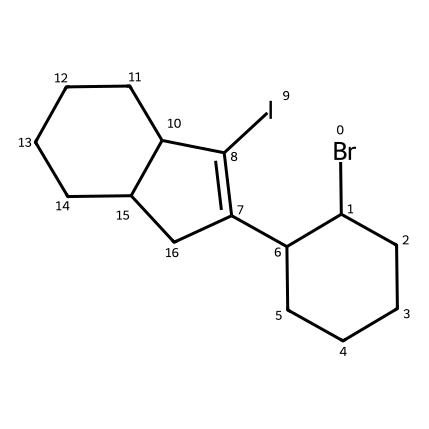 BrC1CCCCC1C1=C(I)C2CCCCC2C1